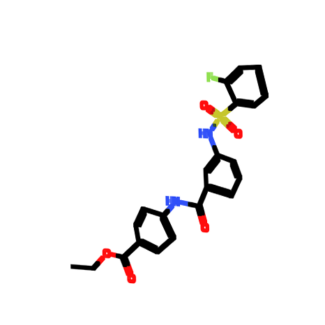 CCOC(=O)c1ccc(NC(=O)c2cccc(NS(=O)(=O)c3ccccc3F)c2)cc1